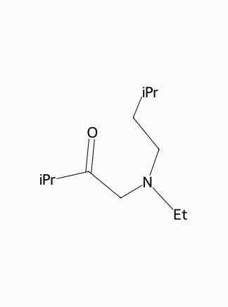 CCN(CCC(C)C)CC(=O)C(C)C